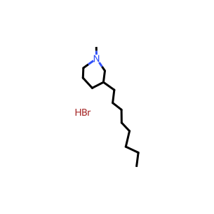 Br.CCCCCCCCC1CCCN(C)C1